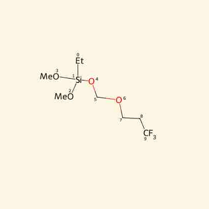 CC[Si](OC)(OC)OCOCCC(F)(F)F